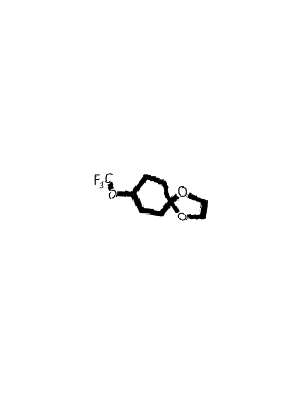 FC(F)(F)OC1CCC2(CC1)OCCO2